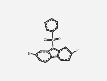 O=S(=O)(c1ccccc1)n1c2cc(Br)ccc2c2ccc(Br)cc21